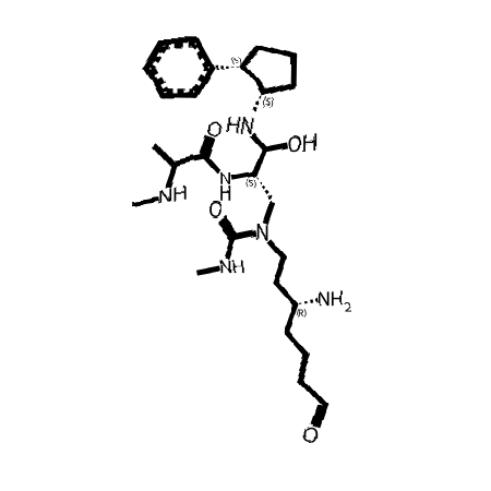 CNC(=O)N(CC[C@H](N)CCCC=O)C[C@H](NC(=O)C(C)NC)C(O)N[C@H]1CCC[C@H]1c1ccccc1